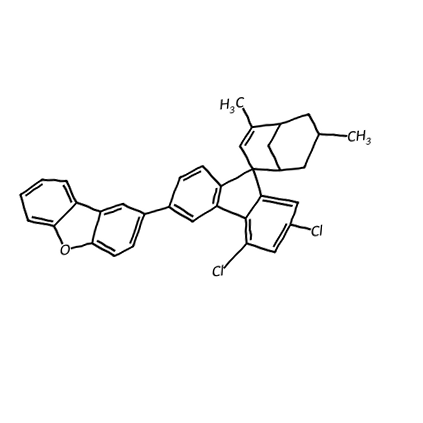 CC1=CC2(c3ccc(-c4ccc5oc6ccccc6c5c4)cc3-c3c(Cl)cc(Cl)cc32)C2CC(C)CC1C2